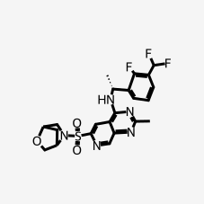 Cc1nc(N[C@H](C)c2cccc(C(F)F)c2F)c2cc(S(=O)(=O)N3CC4CC3CO4)ncc2n1